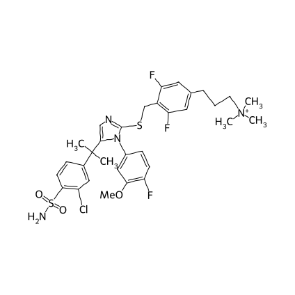 COc1cc(-n2c(C(C)(C)c3ccc(S(N)(=O)=O)c(Cl)c3)cnc2SCc2c(F)cc(CCC[N+](C)(C)C)cc2F)ccc1F